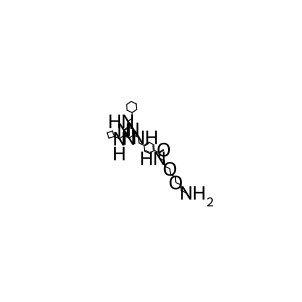 NCCOCCOCCNC(=O)c1ccc(CNc2nc(NCC3CCCCC3)nc(NC3CCC3)n2)cc1